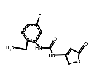 NCc1ccc(Cl)cc1NC(=O)NC1=CC(=O)OC1